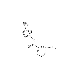 [CH2]c1cccc(C(=O)Nn2ncc(N)n2)c1